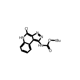 CC(C)(C)OC(=O)Nc1nnc2c(Cl)[nH]c3ccccc3c1-2